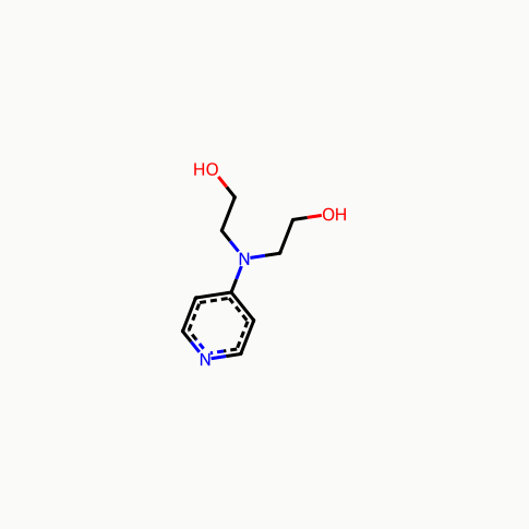 OCCN(CCO)c1ccncc1